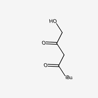 CCC(C)C(=O)CC(=O)CO